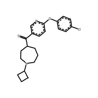 O=C(c1ccc(Oc2ccc(Cl)cc2)nc1)C1CCCN(C2CCC2)CC1